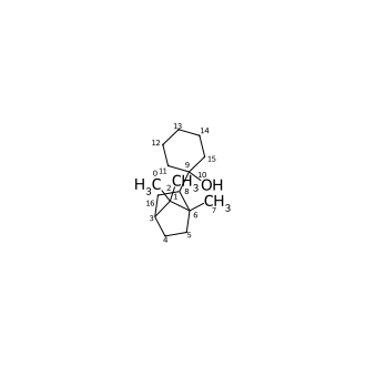 CC1(C)C2CCC1(C)C(C1(O)CCCCC1)C2